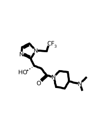 CN(C)C1CCN(C(=O)C[C@H](O)c2nccn2CC(F)(F)F)CC1